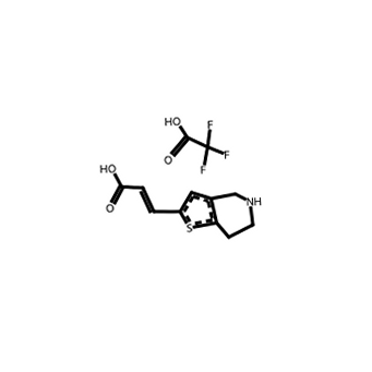 O=C(O)C(F)(F)F.O=C(O)C=Cc1cc2c(s1)CCNC2